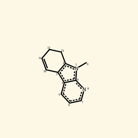 Cn1c2c(c3cccnc31)C=CCC2